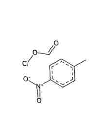 Cc1ccc([N+](=O)[O-])cc1.O=COCl